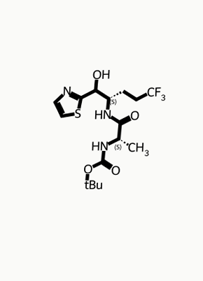 C[C@H](NC(=O)OC(C)(C)C)C(=O)N[C@@H](CCC(F)(F)F)C(O)c1nccs1